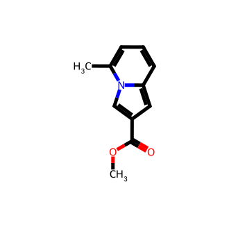 COC(=O)c1cc2cccc(C)n2c1